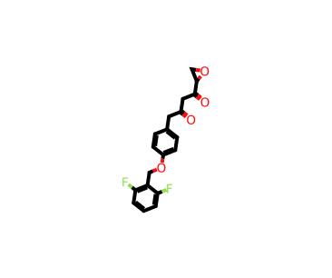 O=C(CC(=O)C1CO1)Cc1ccc(OCc2c(F)cccc2F)cc1